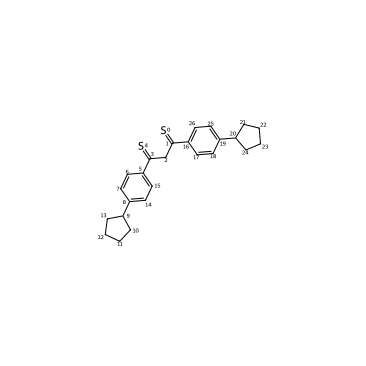 S=C(CC(=S)c1ccc(C2CCCC2)cc1)c1ccc(C2CCCC2)cc1